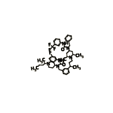 CCCC(C)N1CCC(N(Cc2cccc(C(C)CCN3C(C)CC(N(Cc4ccccc4)C(=O)Nc4cccc(C(F)(F)F)c4)CC3C)c2)C(=O)Nc2cccc(F)c2)CC1